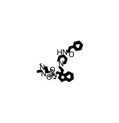 Cc1nc(S(=O)(=O)N(C)CC2(CCN3CCC(NC(=O)Cc4ccccc4)CC3)CCc3ccccc32)cn1C